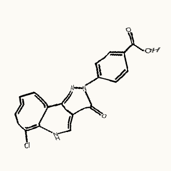 O=C(O)c1ccc(-n2nc3c4cccc(Cl)c4[nH]cc-3c2=O)cc1